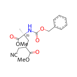 COC(=O)C(CC#N)C[C@](C)(NC(=O)OCc1ccccc1)C(=O)OC